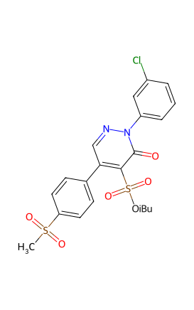 CC(C)COS(=O)(=O)c1c(-c2ccc(S(C)(=O)=O)cc2)cnn(-c2cccc(Cl)c2)c1=O